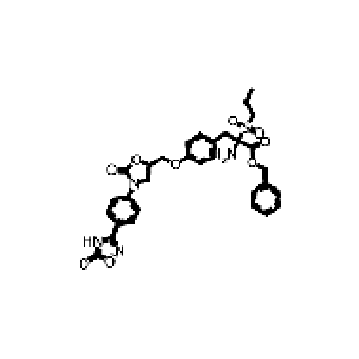 CCCS(=O)(=O)C(N)(Cc1ccc(OCC2CN(c3ccc(-c4noc(=O)[nH]4)cc3)C(=O)O2)cc1)C(=O)OCc1ccccc1